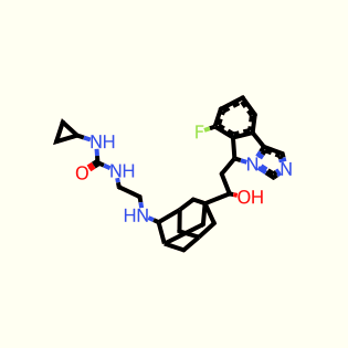 O=C(NCCNC1C2CC3CC1CC(C(O)CC1c4c(F)cccc4-c4cncn41)(C3)C2)NC1CC1